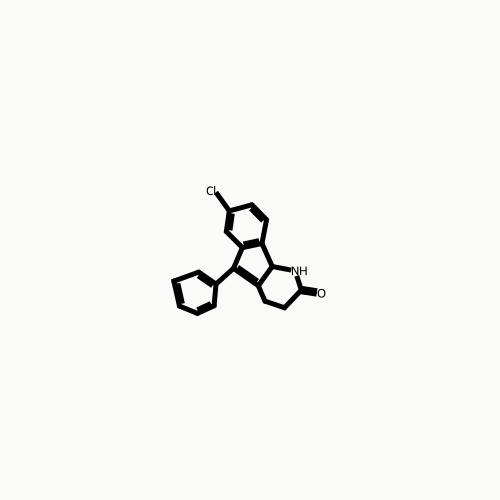 O=C1CCC2=C(c3ccccc3)c3cc(Cl)ccc3C2N1